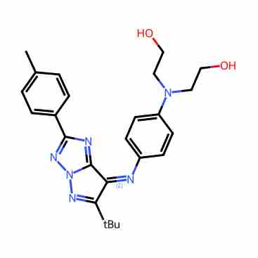 Cc1ccc(-c2nc3n(n2)N=C(C(C)(C)C)/C3=N/c2ccc(N(CCO)CCO)cc2)cc1